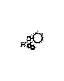 CC(=O)C(=O)NOC1OCC(=O)C([C@@H]2CCCCCCCCNNCCC2)[C@@H]1Cc1cccc2ccccc12